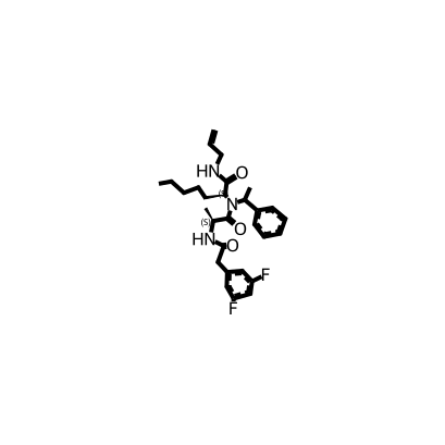 C=CCNC(=O)[C@H](CCCCC)N(C(=O)[C@H](C)NC(=O)Cc1cc(F)cc(F)c1)C(C)c1ccccc1